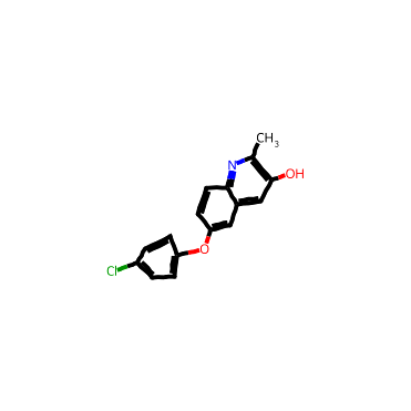 Cc1nc2ccc(Oc3ccc(Cl)cc3)cc2cc1O